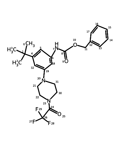 CC(C)(C)c1cc(NC(=O)OCc2ccccc2)cc(N2CCN(C(=O)C(F)(F)F)CC2)c1